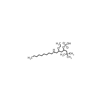 CCCCCCCCCNCC(CC(C[N+](C)(C)C)OP(=O)([O-])O)OCC